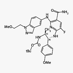 COCCn1ncc2cc(Nc3nc(N[C@H](c4ccc(OC)cc4)[C@H](C)NC(=O)OC(C)(C)C)c(F)cc3C(N)=O)ccc21